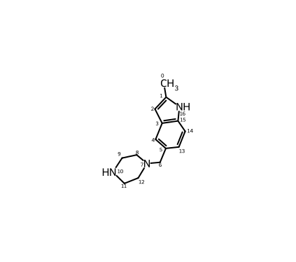 Cc1cc2cc(CN3CCNCC3)ccc2[nH]1